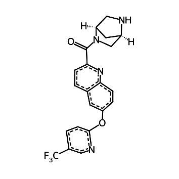 O=C(c1ccc2cc(Oc3ccc(C(F)(F)F)cn3)ccc2n1)N1C[C@H]2C[C@@H]1CN2